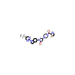 O=C(c1nccs1)N1CCN([C@@H]2CC(=O)N(c3ccc4c(ccn4-c4ncc(C(F)(F)F)cn4)c3)C2)CC1